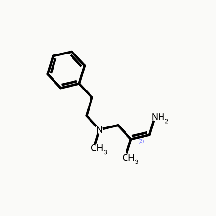 C/C(=C/N)CN(C)CCc1ccccc1